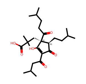 CC(C)CCC(=O)[C@]1(CC(C)(C)C(=O)O)C(O)=C(C(=O)CC(C)C)C(=O)[C@@H]1CCC(C)C